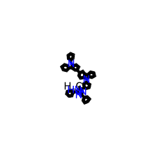 CC1(c2cccc(-n3c4ccccc4c4cc(-c5ccc6c(c5)c5ccccc5n6-c5ccccc5)ccc43)c2)N=C(c2ccccc2)N=C(c2ccccc2)N1